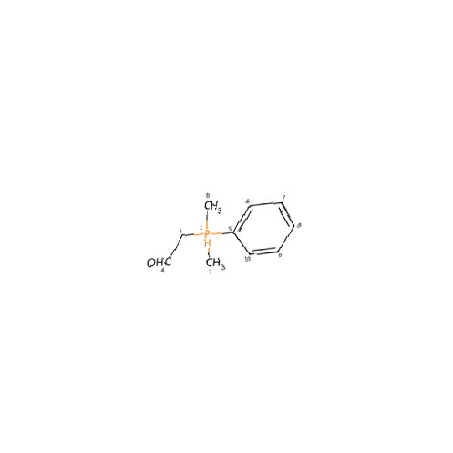 C[PH](C)(CC=O)c1ccccc1